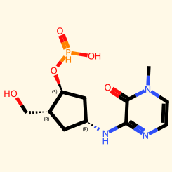 Cn1ccnc(N[C@@H]2C[C@H](CO)[C@@H](O[PH](=O)O)C2)c1=O